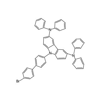 Brc1ccc(-c2ccc(-n3c4ccc(N(c5ccccc5)c5ccccc5)cc4c4cc(N(c5ccccc5)c5ccccc5)ccc43)cc2)cc1